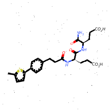 Cc1ccc(-c2ccc(CCC(=O)N[C@@H](CCC(=O)O)C(=O)N[C@H](CCC(=O)O)C(N)=O)cc2)s1